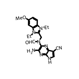 CCn1c(CN(C=O)c2nc3c(C#N)c[nH]c3nc2N)[n+](CC)c2ccc(OC)cc21